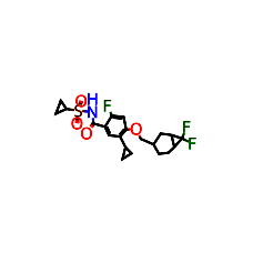 O=C(NS(=O)(=O)C1CC1)c1cc(C2CC2)c(OCC2CCC3C(C2)C3(F)F)cc1F